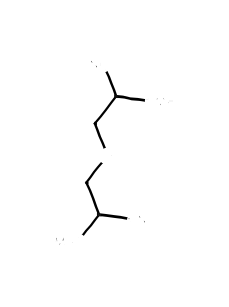 CSC(C#N)COCC(C#N)SC